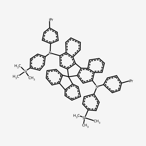 CC(C)c1ccc(N(c2ccc([Si](C)(C)C)cc2)c2cc3c(c4ccccc24)-c2c(cc(N(c4ccc(C(C)C)cc4)c4ccc([Si](C)(C)C)cc4)c4ccccc24)C32c3ccccc3-c3ccccc32)cc1